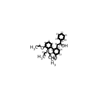 CCOc1cccc(-c2cc(OC)ccc2CC(O)c2ccccc2)c1N(CC)CC